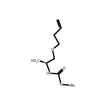 C=CCCOC[C@@H](NC(=O)OCCCC)C(=O)O